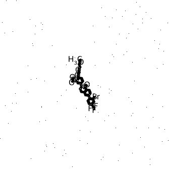 COCCOCOc1ccc(N2CCc3cc(-c4ccc(C(F)(F)F)cc4Br)ccc3C2=O)cc1[N+](=O)[O-]